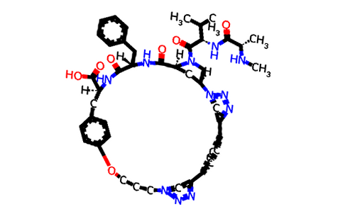 CN[C@@H](C)C(=O)N[C@H](C(=O)N1C[C@@H]2C[C@H]1C(=O)N[C@@H](Cc1ccccc1)C(=O)N[C@H](C(=O)O)Cc1ccc(cc1)OCCCn1cc(nn1)-c1ccc(cc1)-c1cn2nn1)C(C)C